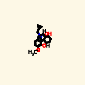 COc1ccc2c3c1O[C@@H]1CCC[C@]4(O)[C@H](C2)N(CC2CC2)CC[C@@]314